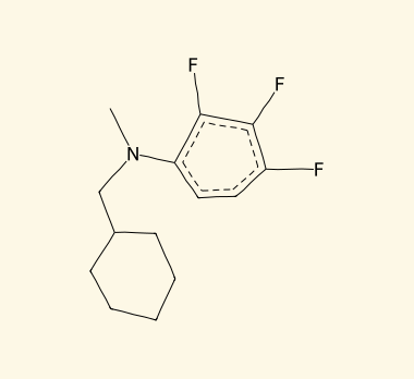 CN(CC1CCCCC1)c1ccc(F)c(F)c1F